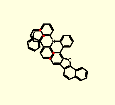 c1ccc(-c2ccccc2N(c2ccccc2-c2cccc3c2oc2c4ccccc4ccc32)c2cccc3oc4ccccc4c23)cc1